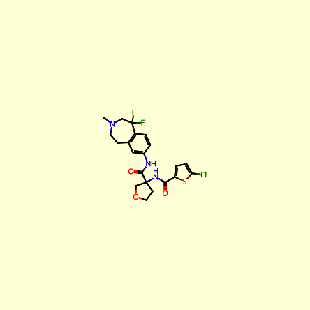 CN1CCc2cc(NC(=O)C3(NC(=O)c4ccc(Cl)s4)CCOC3)ccc2C(F)(F)C1